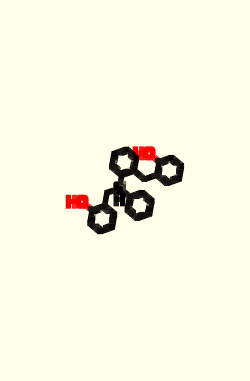 Oc1ccccc1Cc1ccccc1[SiH](Cc1ccccc1O)c1ccccc1